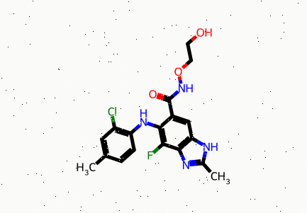 Cc1ccc(Nc2c(C(=O)NOCCO)cc3[nH]c(C)nc3c2F)c(Cl)c1